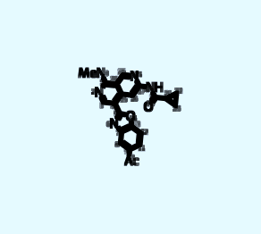 CNc1ncc(-c2nc3cc(C(C)=O)ccc3o2)c2cc(NC(=O)C3CC3)ncc12